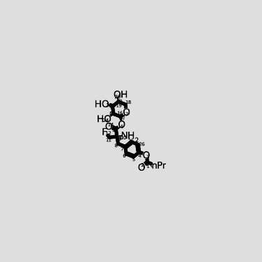 CCCC(=O)Oc1ccc(C[C@@](N)(CF)C(=O)O[C@@H]2OC[C@@H](O)[C@H](O)[C@H]2O)cc1